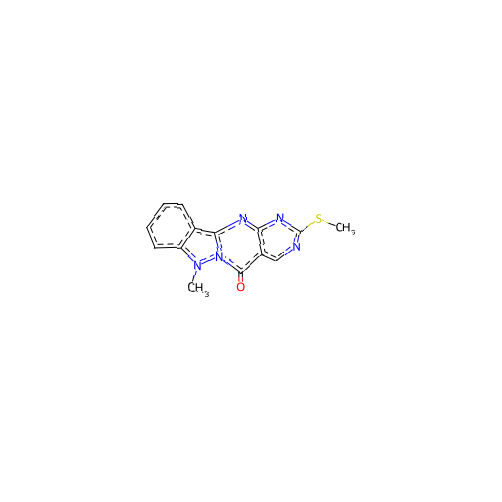 CSc1ncc2c(=O)n3c(nc2n1)c1ccccc1n3C